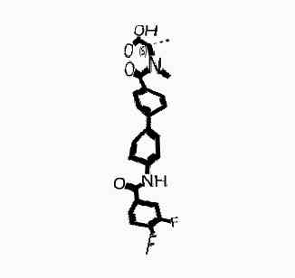 C[C@@H](C(=O)O)N(C)C(=O)c1ccc(-c2ccc(NC(=O)c3ccc(F)c(F)c3)cc2)cc1